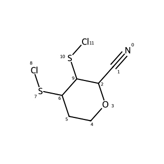 N#CC1OCCC(SCl)C1SCl